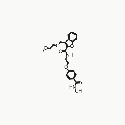 COCCOCc1c(C(=O)NCCOc2ccc(C(=S)NO)cc2)oc2ccccc12